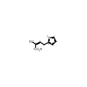 CC/C(=C/Cc1ccco1)C(=O)O